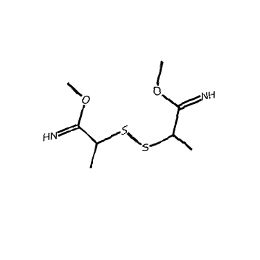 COC(=N)C(C)SSC(C)C(=N)OC